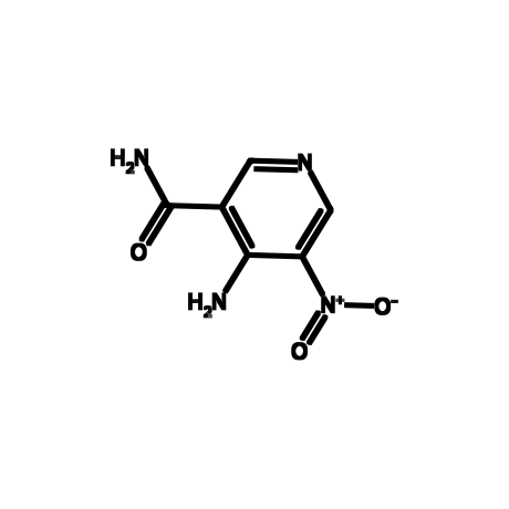 NC(=O)c1cncc([N+](=O)[O-])c1N